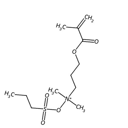 C=C(C)C(=O)OCCC[N+](C)(C)OS(=O)(=O)CCC